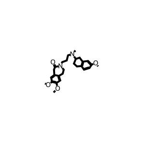 COc1ccc2c(c1)CC(N(C)CCCN1CCc3cc(OC)c(OC)cc3CC1=O)CC2